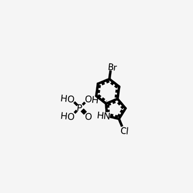 Clc1cc2cc(Br)ccc2[nH]1.O=P(O)(O)O